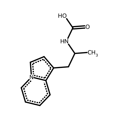 CC(Cc1ccn2ccccc12)NC(=O)O